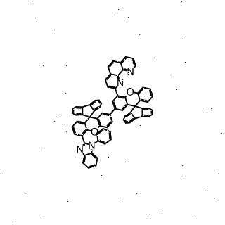 c1ccc(-n2c(-c3cccc4c3Oc3ccc(-c5cc(-c6ccc7ccc8cccnc8c7n6)c6c(c5)C5(c7ccccc7O6)c6ccccc6-c6ccccc65)cc3C43c4ccccc4-c4ccccc43)nc3ccccc32)cc1